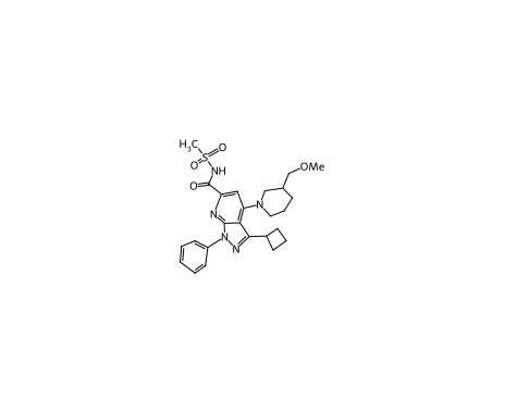 COCC1CCCN(c2cc(C(=O)NS(C)(=O)=O)nc3c2c(C2CCC2)nn3-c2ccccc2)C1